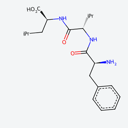 CC(C)C[C@H](NC(=O)[C@@H](NC(=O)[C@@H](N)Cc1ccccc1)C(C)C)C(=O)O